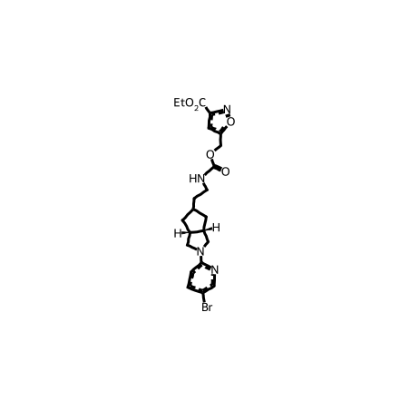 CCOC(=O)c1cc(COC(=O)NCCC2C[C@@H]3CN(c4ccc(Br)cn4)C[C@@H]3C2)on1